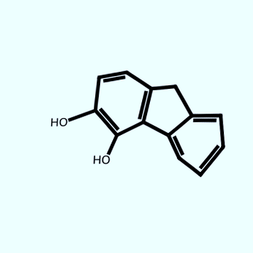 Oc1ccc2c(c1O)-c1ccccc1C2